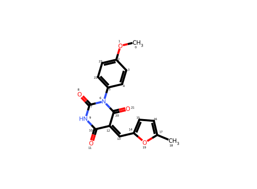 COc1ccc(N2C(=O)NC(=O)C(=Cc3ccc(C)o3)C2=O)cc1